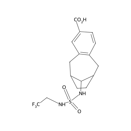 O=C(O)c1ccc2c(c1)CC1CCC(C2)C1NS(=O)(=O)NCC(F)(F)F